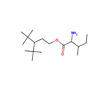 CCC(C)C(N)C(=O)OCCC(C(C)(C)C)C(C)(C)C